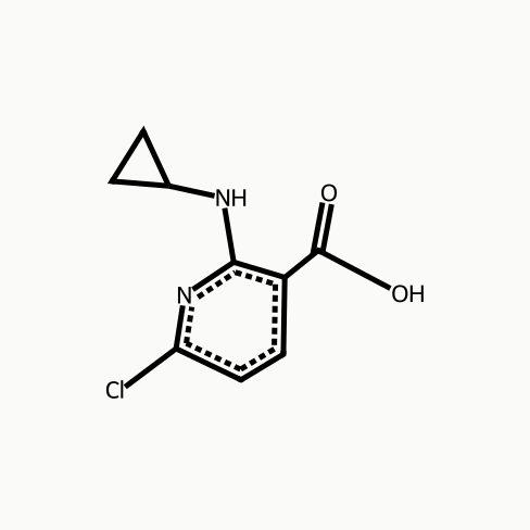 O=C(O)c1ccc(Cl)nc1NC1CC1